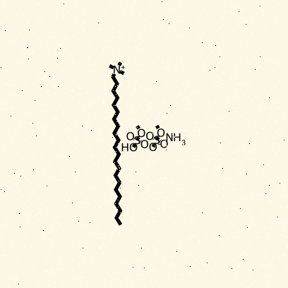 CCCCCCCCCCCCCCCCCCCCCC[N+](C)(C)C.COS(=O)(=O)O.COS(=O)(=O)[O-].N